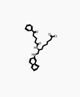 CCC(=O)CCCCCC(CNc1ccc2ccccc2c1)NC(=O)CCCC(=O)c1ccccc1